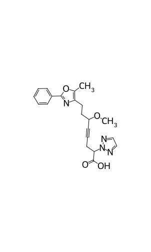 COC(C#CCC(C(=O)O)n1nccn1)CCc1nc(-c2ccccc2)oc1C